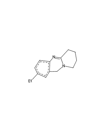 CCc1ccc2c(c1)CN1CCCCC1=N2